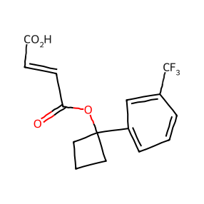 O=C(O)/C=C/C(=O)OC1(c2cccc(C(F)(F)F)c2)CCC1